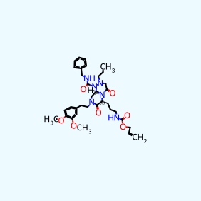 C=CCOC(=O)NCCC[C@H]1C(=O)N(CCc2ccc(OC)c(OC)c2)C[C@H]2N1C(=O)CN(CCC)N2C(=O)NCc1ccccc1